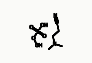 CN(C)CCC#N.O=S(=O)(O)OO